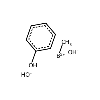 Oc1ccccc1.[B+2]C.[OH-].[OH-]